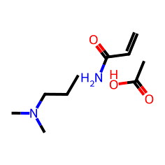 C=CC(N)=O.CC(=O)O.CCCN(C)C